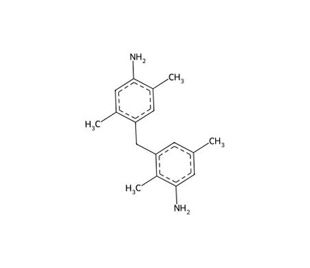 Cc1cc(N)c(C)c(Cc2cc(C)c(N)cc2C)c1